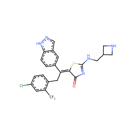 O=C1N=C(NCC2CNC2)SC1=C(Cc1ccc(Cl)cc1C(F)(F)F)c1ccc2[nH]ncc2c1